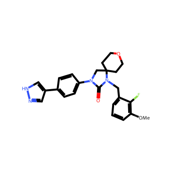 COc1cccc(CN2C(=O)N(c3ccc(-c4cn[nH]c4)cc3)CC23CCOCC3)c1F